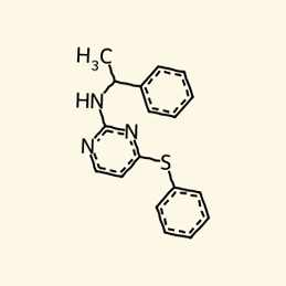 CC(Nc1nccc(Sc2ccccc2)n1)c1ccccc1